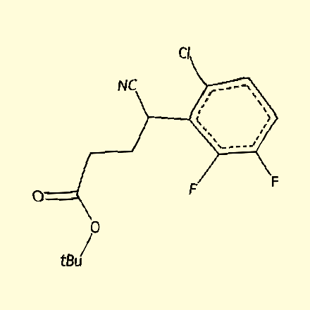 CC(C)(C)OC(=O)CCC(C#N)c1c(Cl)ccc(F)c1F